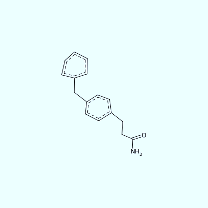 NC(=O)CCc1ccc(Cc2ccccc2)cc1